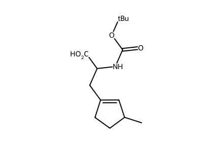 CC1C=C(CC(NC(=O)OC(C)(C)C)C(=O)O)CC1